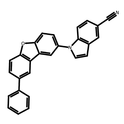 N#Cc1ccc2c(ccn2-c2ccc3oc4ccc(-c5ccccc5)cc4c3c2)c1